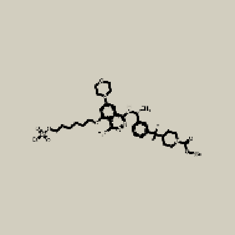 CCS(=O)(=O)OCCCCCCOc1cc(N2CCOCC2)cc2c(N[C@H](C)c3cccc(C(F)(F)C4CCN(C(=O)OC(C)(C)C)CC4)c3)nnc(C)c12